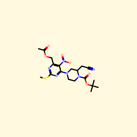 CSc1nc(COC(C)=O)c([N+](=O)[O-])c(N2CCN(C(=O)OC(C)(C)C)C(CC#N)C2)n1